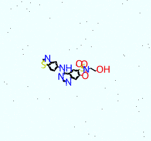 O=S1(=O)c2cc3c(Nc4ccc5scnc5c4)ncnc3cc2ON1CCO